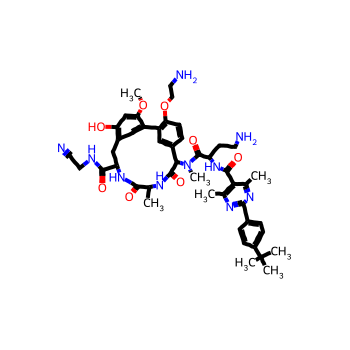 COc1cc(O)c2cc1-c1cc(ccc1OCCN)C(N(C)C(=O)C(CCN)NC(=O)c1c(C)nc(-c3ccc(C(C)(C)C)cc3)nc1C)C(=O)NC(C)C(=O)NC(C(=O)NCC#N)C2